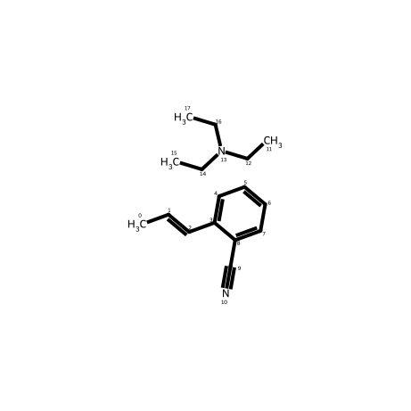 CC=Cc1ccccc1C#N.CCN(CC)CC